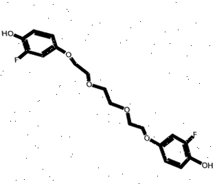 Oc1ccc(OCCOCCOCCOc2ccc(O)c(F)c2)cc1F